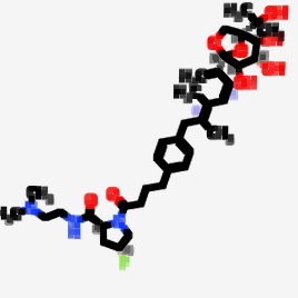 C=C(/C=C\C(C)=C(/C)Cc1ccc(CCCC(=O)N2C[C@H](F)C[C@H]2C(=O)NCCN(C)C)cc1)[C@]12OC[C@](C(C)(C)O)(O1)[C@@H](O)[C@H](O)[C@H]2O